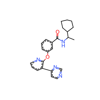 CC(NC(=O)c1cccc(Oc2ncccc2-c2ccncn2)c1)C1CCCCC1